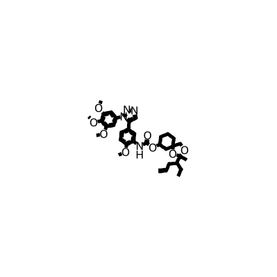 C=CCC(CC)C1(C)OCC2(CCCC(OC(=O)Nc3cc(-c4cnnn4-c4cc(OC)c(OC)c(OC)c4)ccc3OC)C2)O1